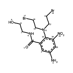 Nc1cc(C(=O)NCCO)c(N(CCBr)CCBr)c([N+](=O)[O-])c1